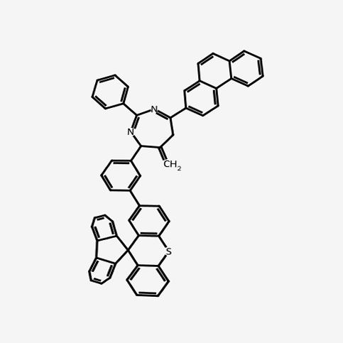 C=C1CC(c2ccc3c(ccc4ccccc43)c2)=NC(c2ccccc2)=NC1c1cccc(-c2ccc3c(c2)C2(c4ccccc4S3)c3ccccc3-c3ccccc32)c1